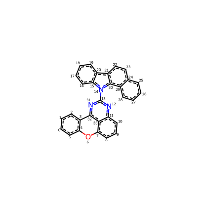 c1ccc2c(c1)Oc1cccc3nc(-n4c5ccccc5c5ccc6ccccc6c54)nc-2c13